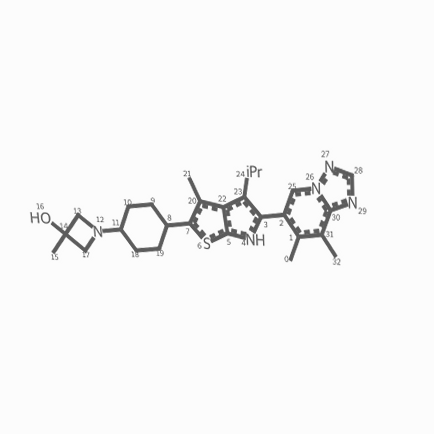 Cc1c(-c2[nH]c3sc(C4CCC(N5CC(C)(O)C5)CC4)c(C)c3c2C(C)C)cn2ncnc2c1C